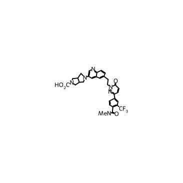 CNC(=O)c1ccc(-c2ccc(=O)n(CCc3ccc4ncc(N5CC6CN(C(=O)O)CC6C5)cc4c3)n2)cc1C(F)(F)F